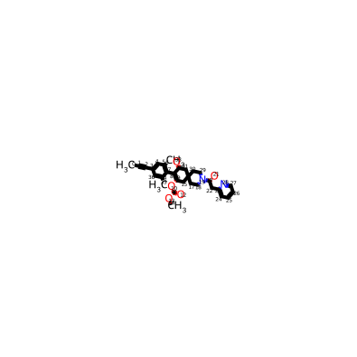 CC#Cc1cc(C)c(C2=C(OC(=O)OC)CC3(CCN(C(=O)Cc4ccccn4)CC3)CC2=O)c(C)c1